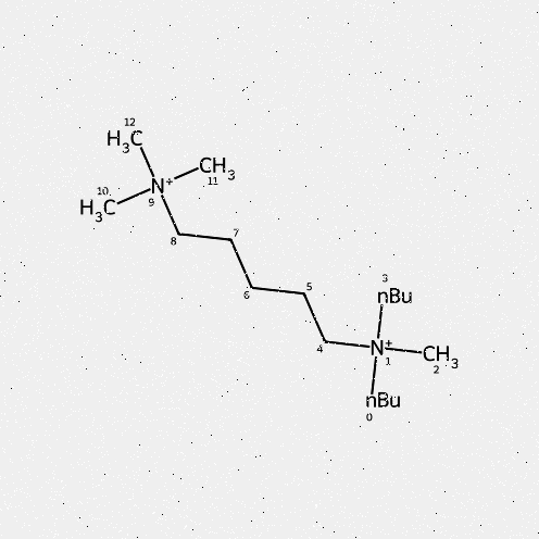 CCCC[N+](C)(CCCC)CCCCC[N+](C)(C)C